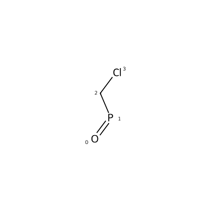 O=PCCl